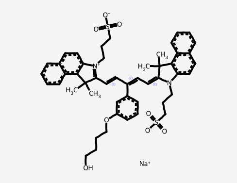 CC1(C)C(/C=C/C(=C/C=C2/N(CCCS(=O)(=O)[O-])c3ccc4ccccc4c3C2(C)C)c2cccc(OCCCCO)c2)=[N+](CCCS(=O)(=O)[O-])c2ccc3ccccc3c21.[Na+]